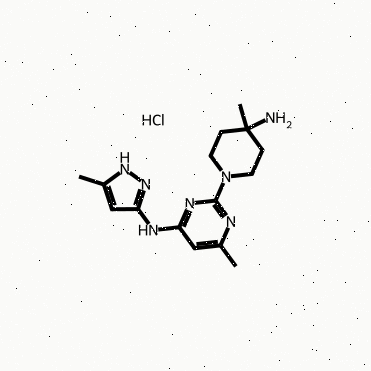 Cc1cc(Nc2cc(C)[nH]n2)nc(N2CCC(C)(N)CC2)n1.Cl